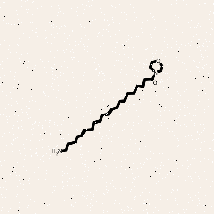 NCCCCC=CCC=CCC=CCC=CCCCCCC(=O)N1CCOCC1